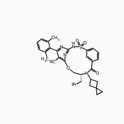 Cc1cccc(C)c1-c1nc2nc(c1C#N)OC[C@@H](CC(C)C)N(C1CC3(CC3)C1)C(=O)c1cccc(c1)S(=O)(=O)N2